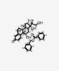 C[C@@H]1C[C@H]2[C@@H]3CCC4=CC(=O)C=C[C@]4(C)[C@@]3(F)[C@@H](O)C[C@]2(C)[C@@]1(O)C(=O)CO.O=C(OCc1ccccc1)c1ccccc1